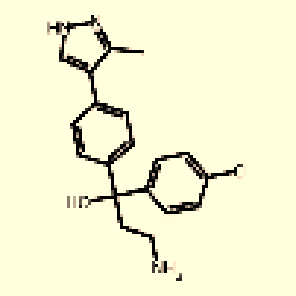 Cc1n[nH]cc1-c1ccc(C(O)(CCN)c2ccc(Cl)cc2)cc1